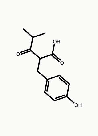 CC(C)C(=O)C(Cc1ccc(O)cc1)C(=O)O